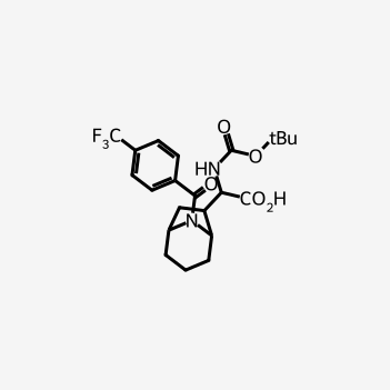 CC(C)(C)OC(=O)NC(C(=O)O)C1CC2CCCC1N2C(=O)c1ccc(C(F)(F)F)cc1